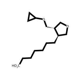 O=C(O)CCCCCC[C@@H]1COC[C@H]1COC1CC1